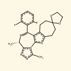 Cc1nnc2n1-c1sc3c(c1C(c1c(F)cccc1F)=N[C@H]2C)CCC1(CC3)OCCO1